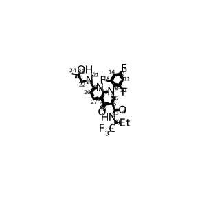 CC[C@H](NC(=O)c1cn(-c2c(F)cc(F)cc2F)c2nc(N(C)C[C@@H](C)O)ccc2c1=O)C(F)(F)F